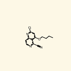 CCCCOc1cc(Cl)nc2ccnc(C#N)c12